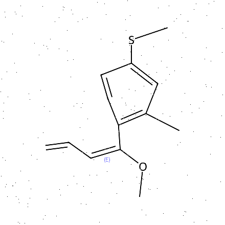 C=C/C=C(/OC)c1ccc(SC)cc1C